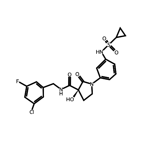 O=C(NCc1cc(F)cc(Cl)c1)[C@@]1(O)CCN(c2cccc(NS(=O)(=O)C3CC3)c2)C1=O